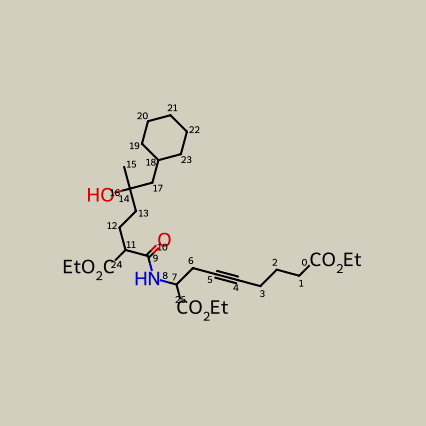 CCOC(=O)CCCC#CCC(NC(=O)C(CCC(C)(O)CC1CCCCC1)C(=O)OCC)C(=O)OCC